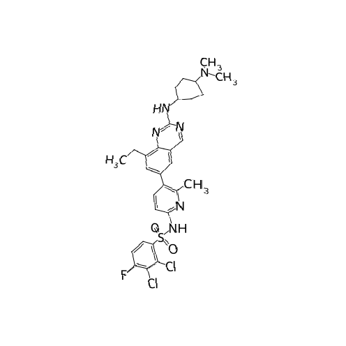 CCc1cc(-c2ccc(NS(=O)(=O)c3ccc(F)c(Cl)c3Cl)nc2C)cc2cnc(NC3CCC(N(C)C)CC3)nc12